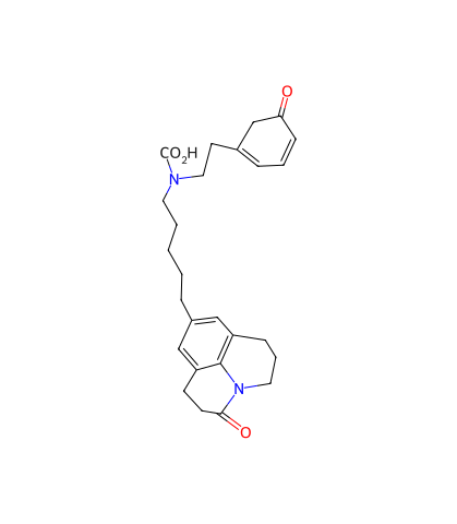 O=C1C=CC=C(CCN(CCCCCc2cc3c4c(c2)CCC(=O)N4CCC3)C(=O)O)C1